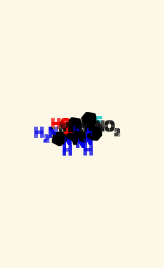 COc1cccc(F)c1-c1nc(Nc2cc(N3CCC[C@H](O)C3)c(C(=O)N[C@@H]3CC[C@H](N)C3)cn2)ccc1[N+](=O)[O-]